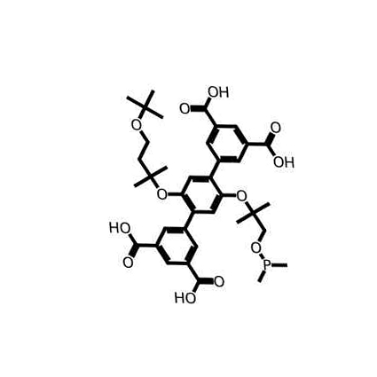 CP(C)OCC(C)(C)Oc1cc(-c2cc(C(=O)O)cc(C(=O)O)c2)c(OC(C)(C)CCOC(C)(C)C)cc1-c1cc(C(=O)O)cc(C(=O)O)c1